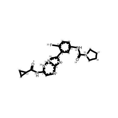 O=C(Nc1cnc2nc(-c3cc(NC(=O)N4CCCC4)ccc3F)cn2n1)C1CC1